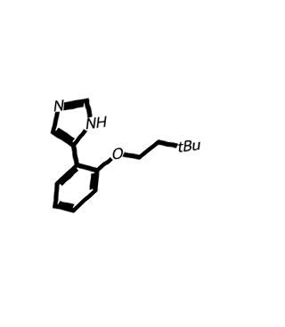 CC(C)(C)CCOc1ccccc1-c1cnc[nH]1